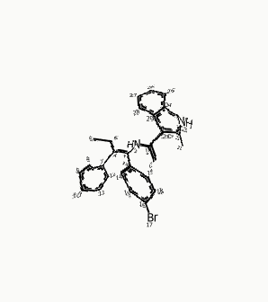 C=C(N/C(=C(\CC)c1ccccc1)c1ccc(Br)cc1)c1c(C)[nH]c2ccccc12